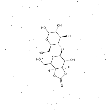 O=C1O[C@@H]2[C@@H](O)[C@H](O[C@H]3[C@H](O)[C@@H](O)C(O)O[C@@H]3CO)O[C@H](CO)[C@@H]2O1